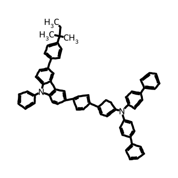 CCC(C)(C)c1ccc(-c2ccc3c(c2)c2cc(-c4ccc(C5=CC=C(N(c6ccc(-c7ccccc7)cc6)c6ccc(-c7ccccc7)cc6)CC5)cc4)ccc2n3-c2ccccc2)cc1